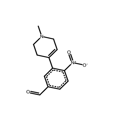 CN1CC=C(c2cc(C=O)ccc2[N+](=O)[O-])CC1